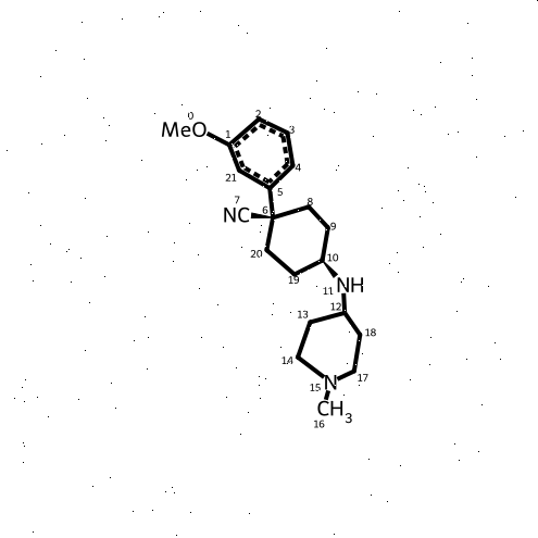 COc1cccc([C@]2(C#N)CC[C@@H](NC3CCN(C)CC3)CC2)c1